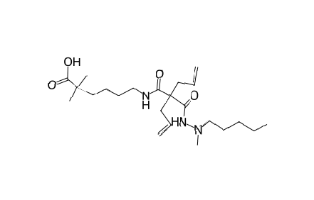 C=CCC(CC=C)(C(=O)NCCCCC(C)(C)C(=O)O)C(=O)NN(C)CCCCC